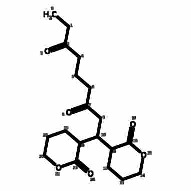 CCC(=O)CCCC(=O)CC(C1CCCOC1=O)C1CCCOC1=O